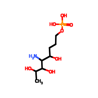 CC(O)C(O)C(N)C(O)CCCOP(=O)(O)O